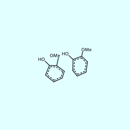 COc1ccccc1O.COc1ccccc1O